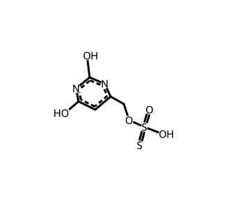 O=S(O)(=S)OCc1cc(O)nc(O)n1